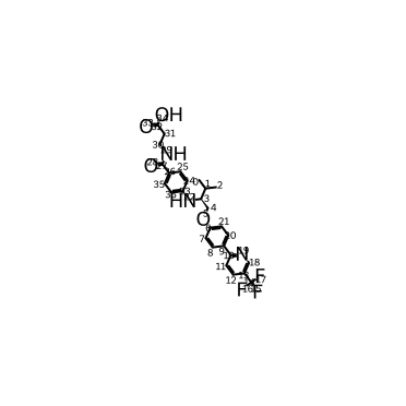 CC(C)[C@@H](COc1ccc(-c2ccc(C(F)(F)F)cn2)cc1)Nc1ccc(C(=O)NCCC(=O)O)cc1